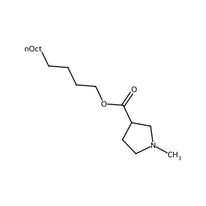 CCCCCCCCCCCCOC(=O)C1CCN(C)C1